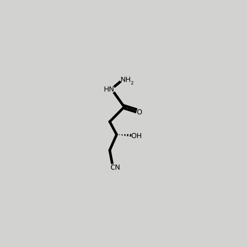 N#CC[C@@H](O)CC(=O)NN